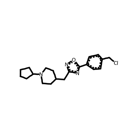 ClCc1ccc(-c2nc(CC3CCN(C4CCCC4)CC3)no2)cc1